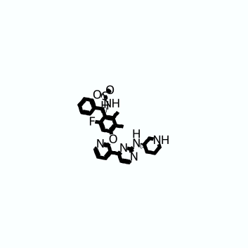 Cc1c(Oc2ncccc2-c2ccnc(N[C@H]3CCCNC3)n2)cc(F)c([C@@H](N[SH](=O)=O)c2ccccc2)c1C